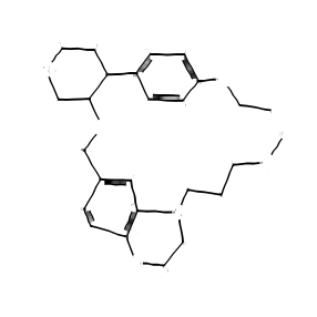 CCOc1ccc(C2CCNCC2OCc2ccc3c(c2)N(CCCOC)CCO3)cc1